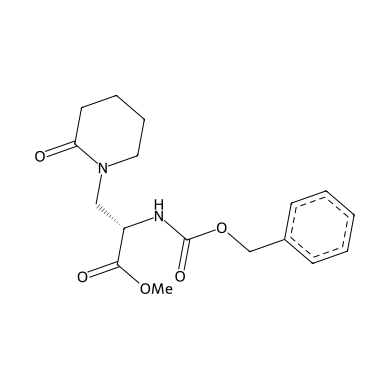 COC(=O)[C@H](CN1CCCCC1=O)NC(=O)OCc1ccccc1